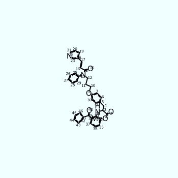 COC(=O)C(Cc1ccc(OCCCN(C(=O)C=Cc2cccnc2)c2ccccc2)cc1)Nc1ccccc1C(=O)c1ccccc1